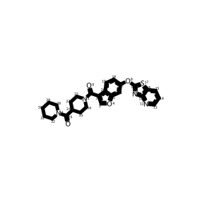 O=C(c1coc2cc(Oc3nc4ncccc4s3)ccc12)N1CCC(C(=O)N2CCCCC2)CC1